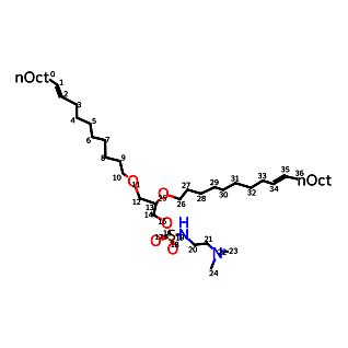 CCCCCCCCC=CCCCCCCCCOCC(COS(=O)(=O)NCCN(C)C)OCCCCCCCCC=CCCCCCCCC